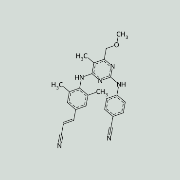 COCc1nc(Nc2ccc(C#N)cc2)nc(Nc2c(C)cc(/C=C/C#N)cc2C)c1C